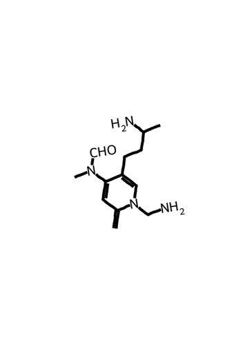 C=C1C=C(N(C)C=O)C(CCC(C)N)=CN1CN